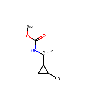 C[C@@H](NC(=O)OC(C)(C)C)C1CC1C#N